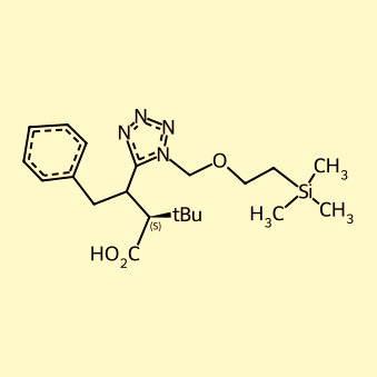 CC(C)(C)[C@@H](C(=O)O)C(Cc1ccccc1)c1nnnn1COCC[Si](C)(C)C